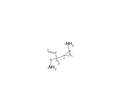 C=CC(C)(CN)C1C=C1N